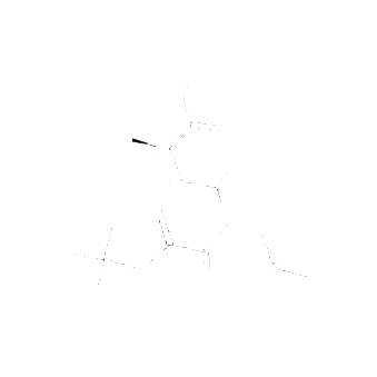 COC[C@H](NC(=O)OC(C)(C)C)C(=O)N[C@@H](C)C(=O)O